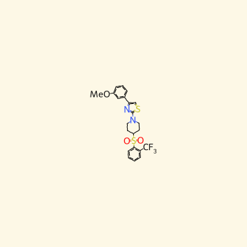 COc1cccc(-c2csc(N3CCC(S(=O)(=O)c4ccccc4C(F)(F)F)CC3)n2)c1